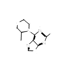 CC1COCCN1c1nc(Cl)nc2scnc12